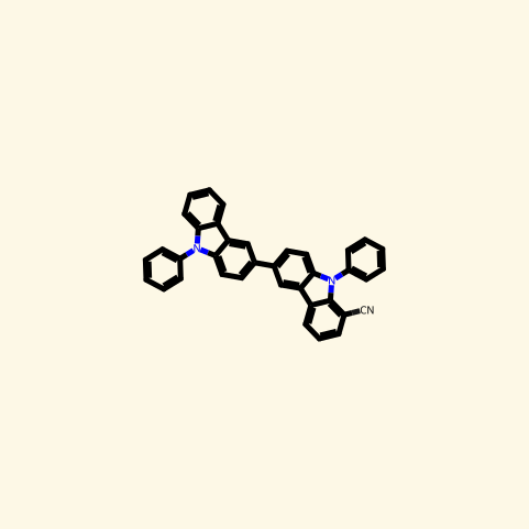 N#Cc1cccc2c3cc(-c4ccc5c(c4)c4ccccc4n5-c4ccccc4)ccc3n(-c3ccccc3)c12